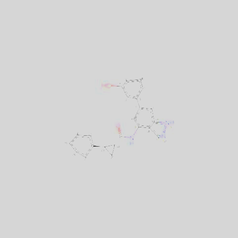 O=C(Nc1cc(-c2cccc(O)c2)cc2[nH]ncc12)[C@@H]1C[C@H]1c1ccccc1